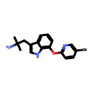 CC(C)(N)Cc1c[nH]c2c(Oc3ccc(C#N)cn3)cccc12